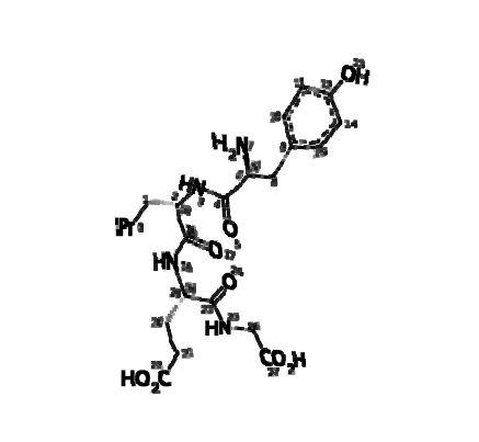 CC(C)C[C@H](NC(=O)[C@@H](N)Cc1ccc(O)cc1)C(=O)N[C@@H](CCC(=O)O)C(=O)NCC(=O)O